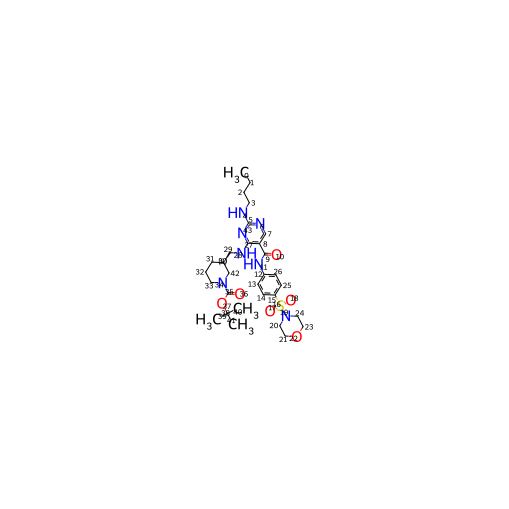 CCCCNc1ncc(C(=O)Nc2ccc(S(=O)(=O)N3CCOCC3)cc2)c(NC[C@@H]2CCCN(C(=O)OC(C)(C)C)C2)n1